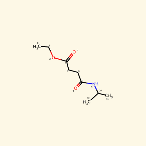 CCOC(=O)CCC(=O)NC(C)C